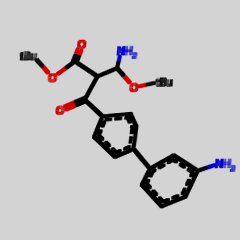 CC(C)(C)OC(=O)C(C(=O)c1ccc(-c2cccc(N)c2)cc1)C(N)OC(C)(C)C